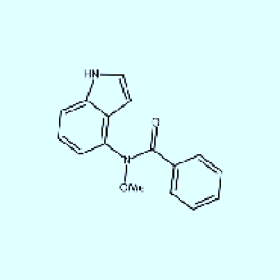 CON(C(=O)c1ccccc1)c1cccc2[nH]ccc12